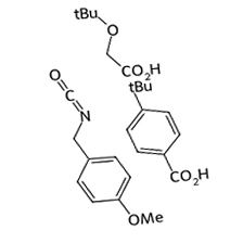 CC(C)(C)OCC(=O)O.CC(C)(C)c1ccc(C(=O)O)cc1.COc1ccc(CN=C=O)cc1